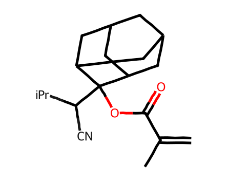 C=C(C)C(=O)OC1(C(C#N)C(C)C)C2CC3CC(C2)CC1C3